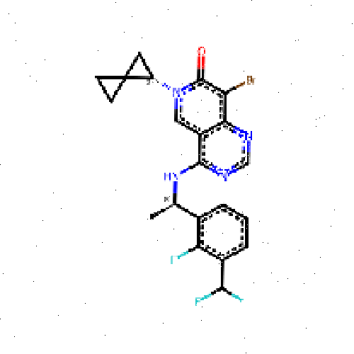 C[C@@H](Nc1ncnc2c(Br)c(=O)n([C@H]3CC34CC4)cc12)c1cccc(C(F)F)c1F